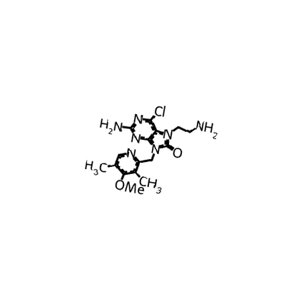 COc1c(C)cnc(Cn2c(=O)n(CCN)c3c(Cl)nc(N)nc32)c1C